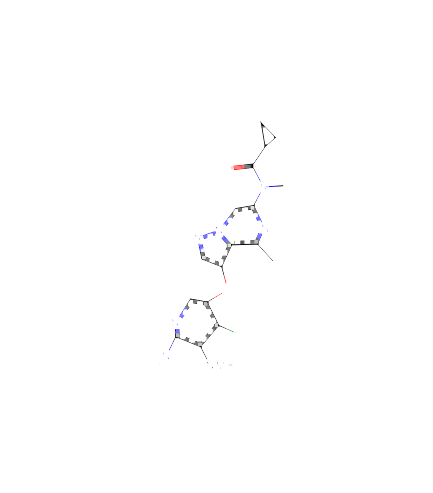 CNc1c(N)ncc(Oc2cnn3cc(N(C)C(=O)C4CC4)nc(C)c23)c1Cl